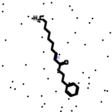 CCCCCCC/C=C/C(=O)SCCc1ccccc1